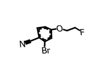 N#Cc1ccc(OCCF)cc1Br